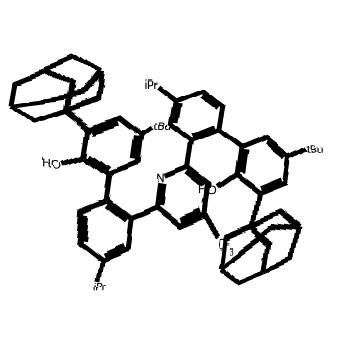 CC(C)c1ccc(-c2cc(C(C)(C)C)cc(C34CC5CC(CC(C5)C3)C4)c2O)c(-c2cc(C(F)(F)F)cc(-c3cc(C(C)C)ccc3-c3cc(C(C)(C)C)cc(C45CC6CC(CC(C6)C4)C5)c3O)n2)c1